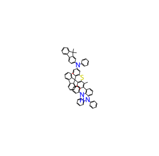 Cc1c(-c2cccc(N(c3ccccc3)c3ccccc3)c2Nc2ccccc2)ccc2c1Sc1cc(N(c3ccccc3)c3ccc4c(c3)C(C)(C)c3ccccc3-4)ccc1C21c2ccccc2-c2ccccc21